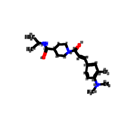 CC(NC(=O)C1CCN(C(=O)C=Cc2ccc(N(C)C)c(C(F)(F)F)c2)CC1)C(=O)O